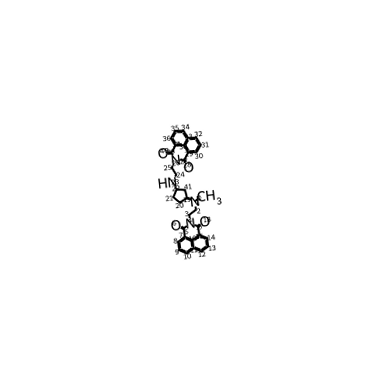 CN(CCN1C(=O)c2cccc3cccc(c23)C1=O)C1CCC(NCCN2C(=O)c3cccc4cccc(c34)C2=O)C1